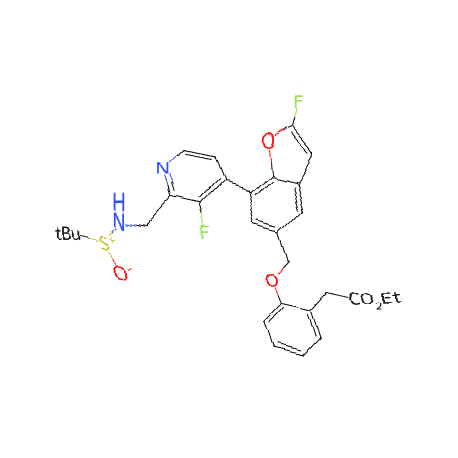 CCOC(=O)Cc1ccccc1OCc1cc(-c2ccnc(CN[S+]([O-])C(C)(C)C)c2F)c2oc(F)cc2c1